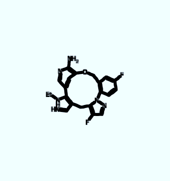 CCN/C1=C(\C=N)Cc2c(F)cnn2-c2ccc(F)cc2COc2cc1cnc2N